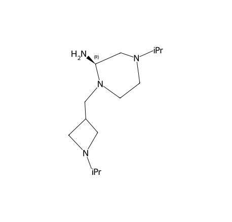 CC(C)N1CC(CN2CCN(C(C)C)C[C@@H]2N)C1